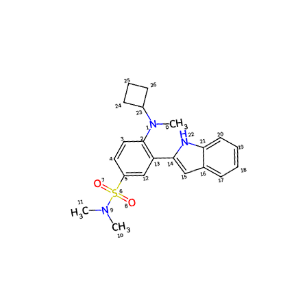 CN(c1ccc(S(=O)(=O)N(C)C)cc1-c1cc2ccccc2[nH]1)C1CCC1